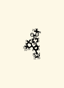 CC1(C)CC(c2cc(-c3nccs3)ccc2N2CCN(C(=O)OC(C)(C)C)CC2)CC(C)(C)C1